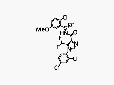 COc1ccc(Cl)c([S+]([O-])NC(=O)c2ncn(-c3ccc(Cl)cc3Cl)c2C(F)F)c1